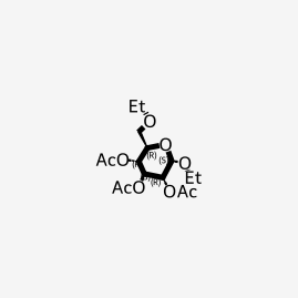 CCOC[C@H]1O[C@H](OCC)[C@H](OC(C)=O)[C@@H](OC(C)=O)[C@@H]1OC(C)=O